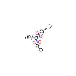 O=C(O)c1cc(N2OCc3cc(C#CC4CCCCC4)ccc3C2=O)cc(N2C(=O)c3ccc(C4CCCCC4)cc3C2=O)c1